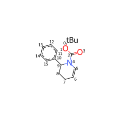 CC(C)(C)OC(=O)N1C=CCCC1c1ccccc1